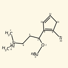 CCCCOC(CC[SiH](C)C)C1=[C]([Ti])CC=C1